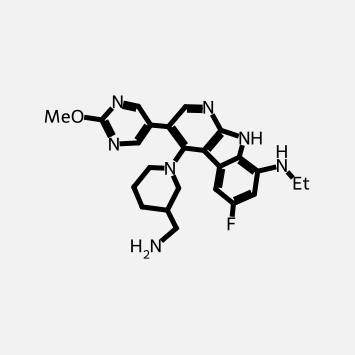 CCNc1cc(F)cc2c1[nH]c1ncc(-c3cnc(OC)nc3)c(N3CCCC(CN)C3)c12